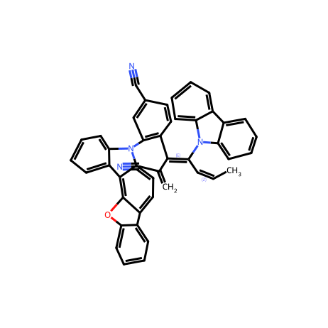 C=C(C#N)/C(=C(\C=C/C)n1c2ccccc2c2ccccc21)c1ccc(C#N)cc1-n1c2ccccc2c2c3oc4ccccc4c3ccc21